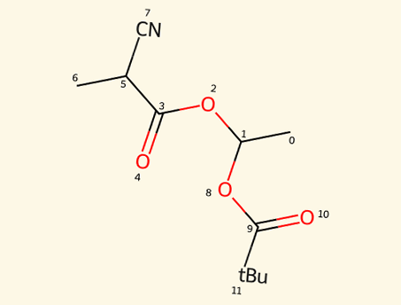 CC(OC(=O)C(C)C#N)OC(=O)C(C)(C)C